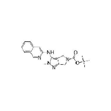 Cn1nc2c(c1Nc1cc3ccccc3cn1)CN(C(=O)OC(C)(C)C)C2